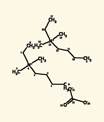 CCCC[N+](C)(C)CC.CCCC[N+](C)(C)CC.O=C([O-])[O-]